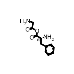 NCC(=O)OC(=O)[C@H](N)Cc1ccccc1